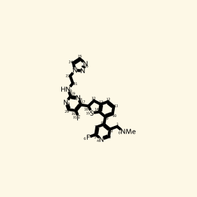 CNCc1cnc(F)cc1-c1cccc2c1SC(c1nc(NCCn3ccnn3)ncc1F)C2